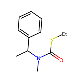 CCSC(=O)N(C)C(C)c1ccccc1